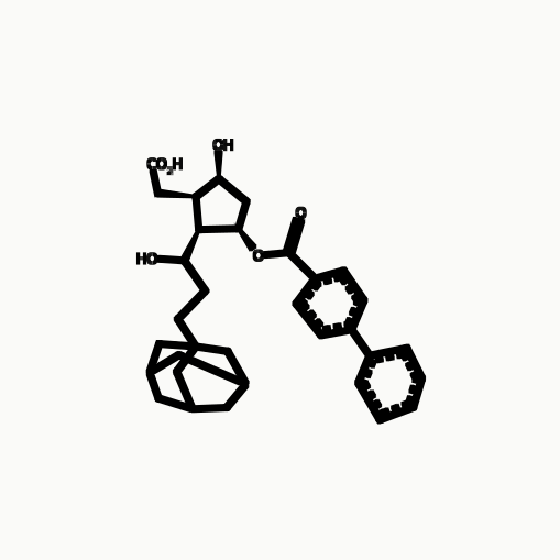 O=C(O)C[C@@H]1[C@H](C(O)CCC23CC4CC(CC(C4)C2)C3)[C@H](OC(=O)c2ccc(-c3ccccc3)cc2)C[C@@H]1O